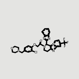 O=C(COc1ccc(CN2CCOCC2)cc1Cl)N1CCc2nc3cc(C(F)(F)F)ccn3c2C1c1nc2ccccc2s1